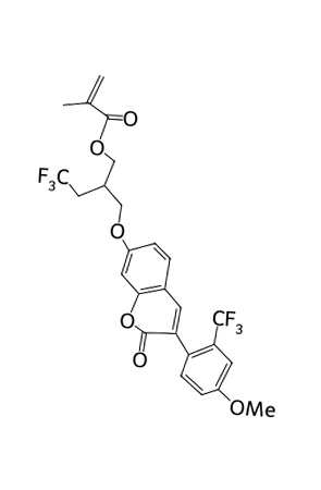 C=C(C)C(=O)OCC(COc1ccc2cc(-c3ccc(OC)cc3C(F)(F)F)c(=O)oc2c1)CC(F)(F)F